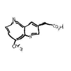 Cc1ccnc2cc(CC(=O)O)cnc12